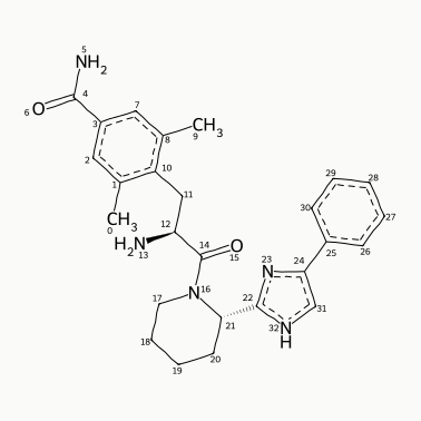 Cc1cc(C(N)=O)cc(C)c1C[C@H](N)C(=O)N1CCCC[C@H]1c1nc(-c2ccccc2)c[nH]1